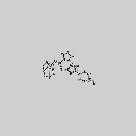 O=C(OC1C2CC3CC(C2)CC1C3)N1CCC[C@@H]1c1nc(-c2cc[n+]([O-])cc2)cs1